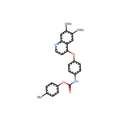 COc1cc2nccc(Oc3ccc(NC(=O)Oc4ccc(C(C)(C)C)cc4)cc3)c2cc1OC